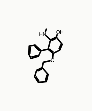 CNc1c(O)ccc(OCc2ccccc2)c1-c1ccccc1